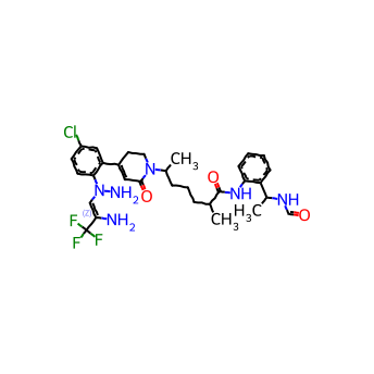 CC(CCCC(C)N1CCC(c2cc(Cl)ccc2N(N)/C=C(\N)C(F)(F)F)=CC1=O)C(=O)Nc1ccccc1C(C)NC=O